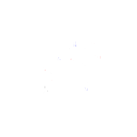 CCOC(=O)CN1C(=O)[C@@H](N[C@@H](CCCCN)C(=O)O)CCc2ccccc21